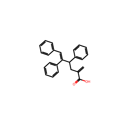 C=C(CC(C(=Cc1ccccc1)c1ccccc1)c1ccccc1)C(=O)O